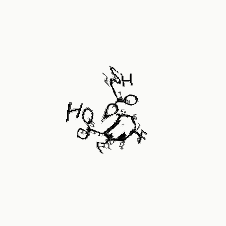 O=C(CS)Oc1cc(F)cc(F)c1C(=O)O